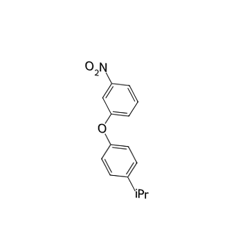 CC(C)c1ccc(Oc2cccc([N+](=O)[O-])c2)cc1